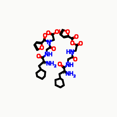 N[C@@H](CC1CCCCC1)C(=O)NCC(=O)N(CC(=O)O)C(=O)c1ccco1.N[C@@H](CC1CCCCC1)C(=O)NCC(=O)NCC(=O)OC(=O)c1ccco1